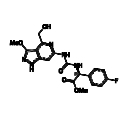 COC(=O)[C@@H](NC(=O)Nc1cc2[nH]nc(OC)c2c(CO)n1)c1ccc(F)cc1